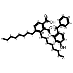 CCCCCCCCc1ccc(C(=O)O)c(C(=O)Oc2cc(O)ccc2C(=O)c2ccccc2)c1CCCCCCCC